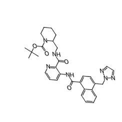 CC(C)(C)OC(=O)N1CCCCC1CNC(=O)c1ncccc1NC(=O)c1ccc(Cn2nccn2)c2ccccc12